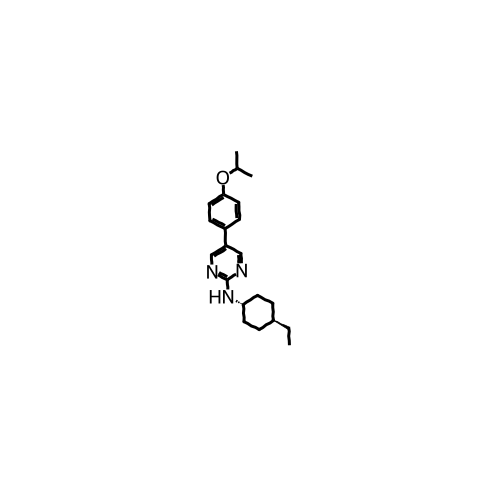 CC[C@H]1CC[C@H](Nc2ncc(-c3ccc(OC(C)C)cc3)cn2)CC1